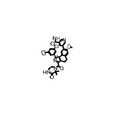 COc1cc2c(cc1-c1cncc(C(N)=O)c1)-c1c(c(C(=O)N3CCNC(=O)C3(C)C)nn1-c1cc(Cl)cc(Cl)c1)CC2